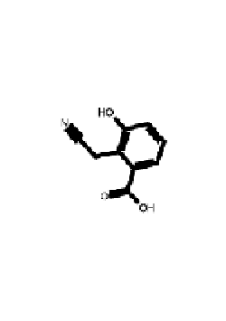 N#CCc1c(O)cccc1C(=O)O